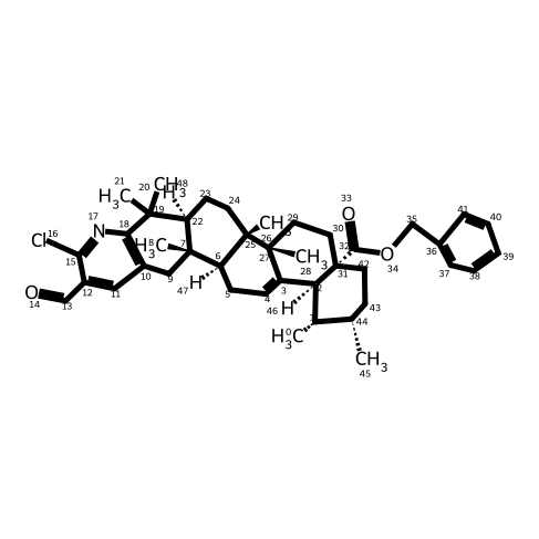 C[C@@H]1[C@H]2C3=CC[C@H]4[C@]5(C)Cc6cc(C=O)c(Cl)nc6C(C)(C)[C@H]5CC[C@]4(C)[C@]3(C)CC[C@@]2(C(=O)OCc2ccccc2)CC[C@@H]1C